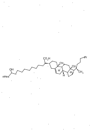 CCCCCCC(O)CCCCCCCCCC(C(=O)O)[C@H]1CC[C@@]2(C)C(=CC[C@H]3[C@@H]4CC[C@H]([C@H](C)CCCC(C)C)[C@@]4(C)CC[C@@H]32)C1